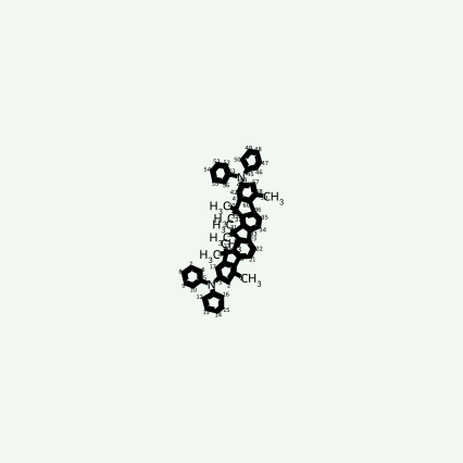 Cc1cc(N(c2ccccc2)c2ccccc2)cc2c1-c1ccc3c(c1C2(C)C)C(C)(C)c1c-3ccc2c1C(C)(C)c1cc(N(c3ccccc3)c3ccccc3)cc(C)c1-2